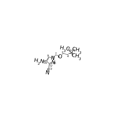 C[Si](C)(C)CCOCn1cc(N)c(C#N)n1